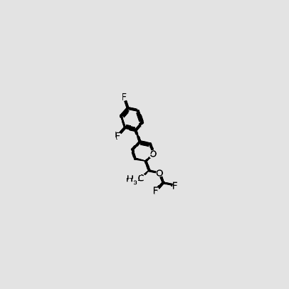 C[C@H](OC(F)F)[C@H]1CCC(c2ccc(F)cc2F)=CO1